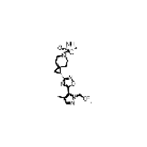 Cc1cnn(CC(F)(F)F)c1-c1nc([C@@H]2CC23CCN(S(N)(=O)=O)CC3)no1